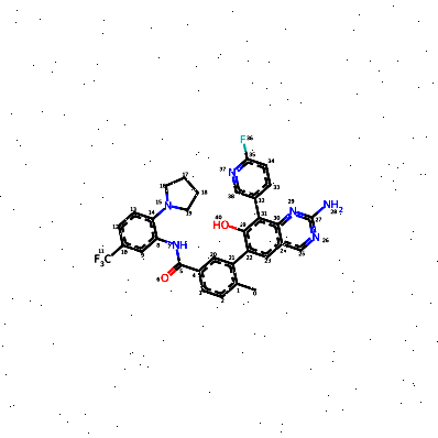 Cc1ccc(C(=O)Nc2cc(C(F)(F)F)ccc2N2CCCC2)cc1-c1cc2cnc(N)nc2c(-c2ccc(F)nc2)c1O